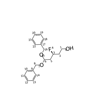 OCC[C@H](F)CC(OCc1ccccc1)OCc1ccccc1